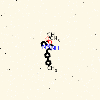 Cc1ccc(-c2ccc(CC3CNCCN3c3ncccc3C(=O)OC(C)C)cc2)cc1